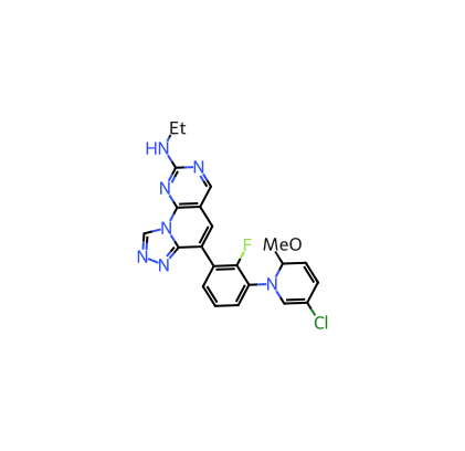 CCNc1ncc2cc(-c3cccc(N4C=C(Cl)C=CC4OC)c3F)c3nncn3c2n1